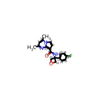 Cc1cc(C)n2ccc(C(=O)NC3(c4ccc(F)cc4)COC3)c2n1